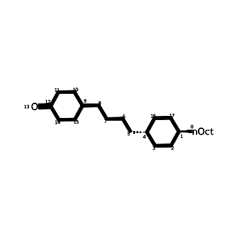 CCCCCCCC[C@H]1CC[C@H](CCCCC2CCC(=O)CC2)CC1